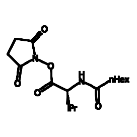 CCCCCCC(=O)N[C@H](C(=O)ON1C(=O)CCC1=O)C(C)C